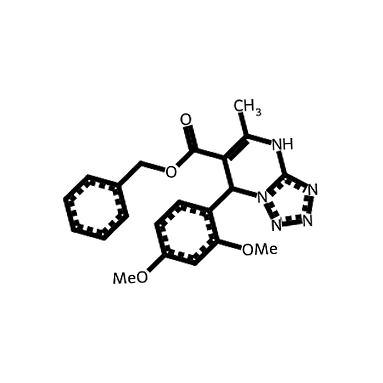 COc1ccc(C2C(C(=O)OCc3ccccc3)=C(C)Nc3nnnn32)c(OC)c1